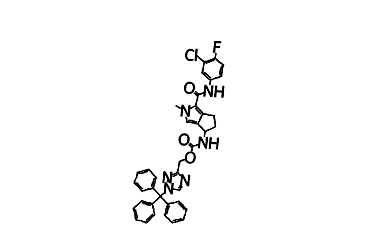 Cn1cc2c(c1C(=O)Nc1ccc(F)c(Cl)c1)CCC2NC(=O)OCc1ncn(C(c2ccccc2)(c2ccccc2)c2ccccc2)n1